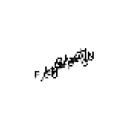 O=C(NC[C@H]1CN(c2cc(F)c(N3CCN(C(=O)CNC(=O)c4cccnc4)CC3)c(F)c2)C(=O)O1)OCC(F)(F)F